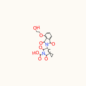 O=C(O)N1C(=O)C(N2C(=O)c3cccc(OCCO)c3C2=O)CC2(CC2)C1=O